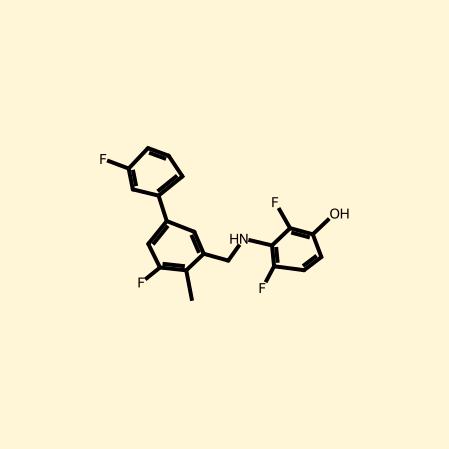 Cc1c(F)cc(-c2cccc(F)c2)cc1CNc1c(F)ccc(O)c1F